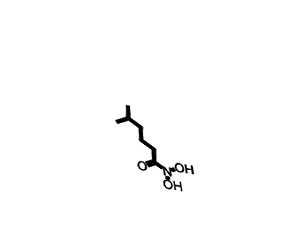 CC(C)CCCC(=O)N(O)O